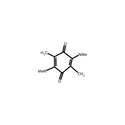 CNC1=C(C)C(=O)C(NC)=C(C)C1=O